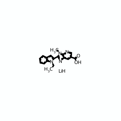 CCn1c(-c2nc3cc(C(=O)O)cnc3n2C)cc2ccccc21.[LiH]